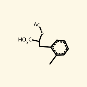 CC(=O)SC(Cc1ccccc1C)C(=O)O